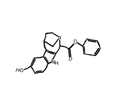 O=C(Oc1ccccc1)C1c2[nH]c3ccc(O)cc3c2C2CCN1C2